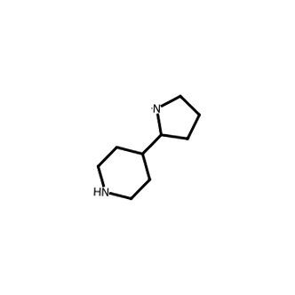 C1C[N]C(C2CCNCC2)C1